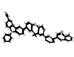 CC1(C)c2cc(-c3cccc(-c4cnc5ccccc5c4)c3)ccc2Oc2ccc(-c3ccc4c(c3)c3cc(C#N)ccc3n4-c3ccccc3)cc21